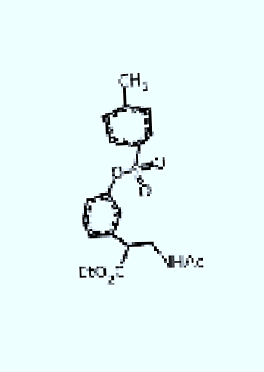 CCOC(=O)C(CNC(C)=O)c1cccc(OS(=O)(=O)c2ccc(C)cc2)c1